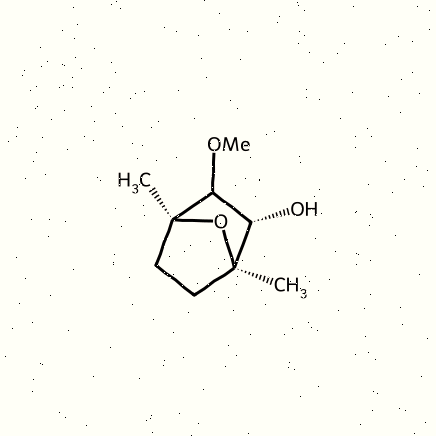 COC1[C@H](O)[C@@]2(C)CC[C@]1(C)O2